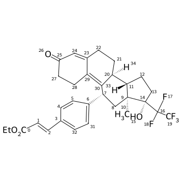 CCOC(=O)C=Cc1ccc([C@H]2C[C@@]3(C)[C@@H](CC[C@@]3(O)C(F)(F)C(F)(F)F)[C@@H]3CCC4=CC(=O)CCC4=C32)cc1